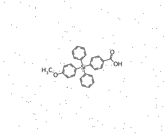 COc1ccc([Si](c2ccccc2)(c2ccccc2)c2ccc(C(=O)O)cc2)cc1